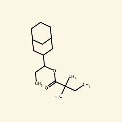 CCC(OC(=O)C(C)(C)CC)C1CC2CCCC(C2)C1